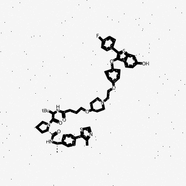 Cc1ncsc1-c1ccc([C@H](C)NC(=O)[C@@H]2CCCN2C(=O)C(NC(=O)CCCOC2CCN(CCOc3ccc(Oc4c(-c5ccc(F)cc5)sc5cc(O)ccc45)cc3)CC2)C(C)(C)C)cc1